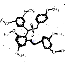 COc1ccc(CS(=O)(=O)C(c2cc(OC)cc(OC)c2)c2c(/C=C/c3cc(OC)cc(OC)c3)cc(OC)cc2OC)cc1